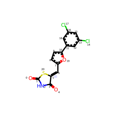 O=C1NC(=O)/C(=C/c2ccc(-c3cc(Cl)cc(Cl)c3)o2)S1